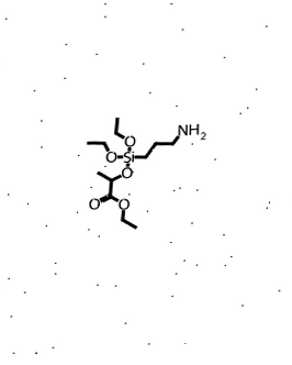 CCOC(=O)C(C)O[Si](CCCN)(OCC)OCC